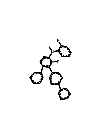 CN(c1ccccc1F)c1ccc(-c2ccccc2)c(-c2ccc(-c3ccccc3)cc2)c1F